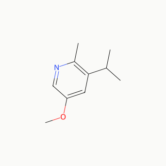 COc1cnc(C)c(C(C)C)c1